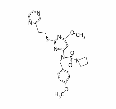 COc1ccc(CN(c2cc(OC)nc(SCCc3cnccn3)n2)S(=O)(=O)N2CCC2)cc1